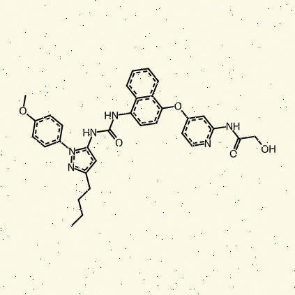 CCCCc1cc(NC(=O)Nc2ccc(Oc3ccnc(NC(=O)CO)c3)c3ccccc23)n(-c2ccc(OC)cc2)n1